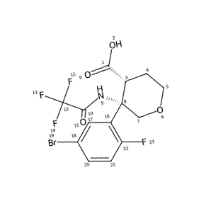 O=C(O)[C@@H]1CCOC[C@@]1(NC(=O)C(F)(F)F)c1cc(Br)ccc1F